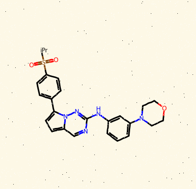 CC(C)S(=O)(=O)c1ccc(-c2ccc3cnc(Nc4cccc(N5CCOCC5)c4)nn23)cc1